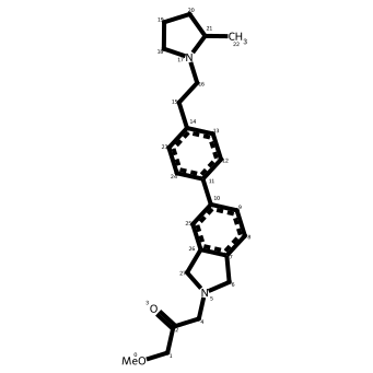 COCC(=O)CN1Cc2ccc(-c3ccc(CCN4CCCC4C)cc3)cc2C1